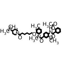 COc1cc(C(=O)N(C)c2ccc(C)cc2OCCCCCC(=O)N2CCC(N(C)C)CC2)ccc1NC(=O)c1ccccc1OC(C)=O